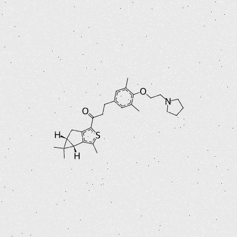 Cc1cc(CCC(=O)c2sc(C)c3c2C[C@@H]2[C@H]3C2(C)C)cc(C)c1OCCN1CCCC1